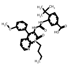 CCCCn1c(=O)c(NC(=O)Nc2cc(C(=O)O)ccc2C(C)(C)C)c(-c2cccc(OC)c2)c2cccnc21